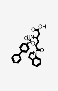 O=C(O)CC(CCC(=O)N1CCc2ccccc21)NS(=O)(=O)c1ccc(-c2ccccc2)cc1